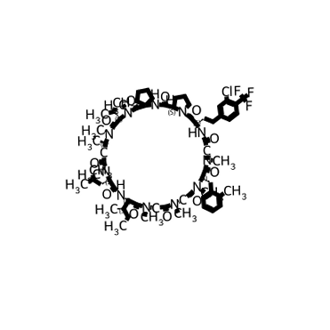 CC[C@H](C)[C@@H]1NC(=O)[C@H](CC(C)C)N(C)C(=O)C[C@@H](C)N(C)C(=O)[C@H](C(C)C)N(C)C(=O)C2(CCCC2)NC(=O)[C@@H]2CCCN2C(=O)[C@H](CCc2ccc(C(F)(F)F)c(Cl)c2)NC(=O)CN(C)C(=O)[C@H](Cc2ccccc2C)N(C)C(=O)CN(C)C(=O)CN(C)C1=O